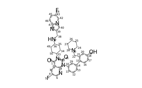 O=c1c2cc(F)cnc2n(-c2cccc(-c3ccc(O)cc3CN3CCCCC3)c2)c(=O)n1C1CCC(NCc2cn3cc(F)ccc3n2)CC1